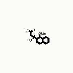 COc1c(C(C)(C)CC(=O)C(F)(F)F)ccc2ccccc12